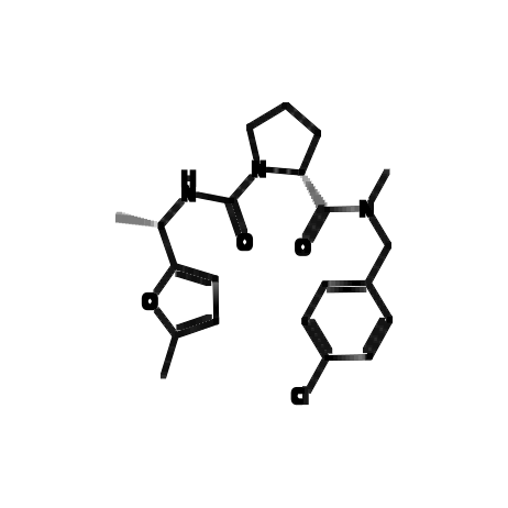 Cc1ccc([C@H](C)NC(=O)N2CCC[C@@H]2C(=O)N(C)Cc2ccc(Cl)cc2)o1